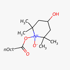 CCCCCCCCC(=O)O[N+]1([O-])C(C)(C)CC(O)CC1(C)C